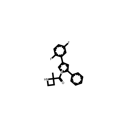 CC1(C(=O)n2cc(-c3cc(F)ccc3F)cc2-c2ccccc2)CCN1